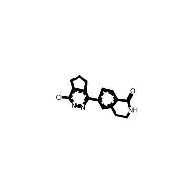 O=C1NCCc2cc(-c3nnc(Cl)c4c3CCC4)ccc21